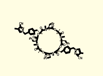 Cc1cn(Cc2ccc(C[C@H]3OC(=O)[C@H](CC(C)C)N(C)C(=O)[C@@H](C)OC(=O)[C@H](CC(C)C)N(C)C(=O)[C@@H](Cc4ccc(Cn5cc(C)c(C#N)n5)cc4)OC(=O)[C@H](CC(C)C)N(C)C(=O)[C@@H](C)OC(=O)[C@H](CC(C)C)N(C)C3=O)cc2)nc1C#N